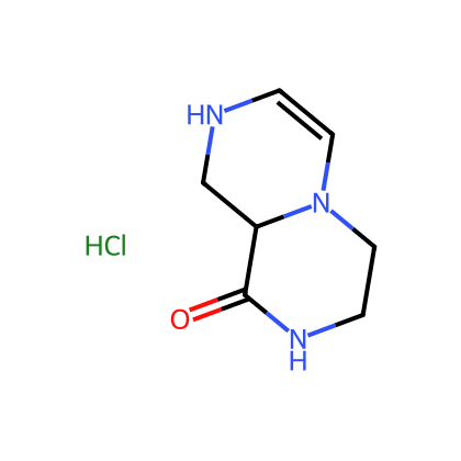 Cl.O=C1NCCN2C=CNCC12